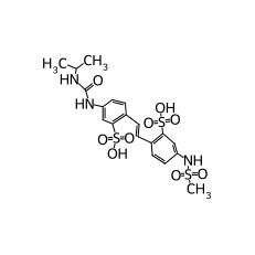 CC(C)NC(=O)Nc1ccc(/C=C/c2ccc(NS(C)(=O)=O)cc2S(=O)(=O)O)c(S(=O)(=O)O)c1